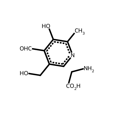 Cc1ncc(CO)c(C=O)c1O.NCC(=O)O